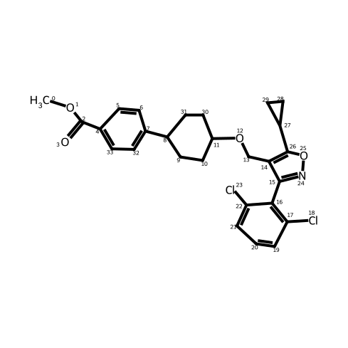 COC(=O)c1ccc(C2CCC(OCc3c(-c4c(Cl)cccc4Cl)noc3C3CC3)CC2)cc1